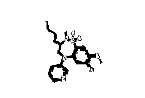 CCCCC1CN(c2cccnc2)c2cc(Br)c(OC)cc2S(=O)(=O)N1C